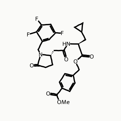 COC(=O)c1ccc(COC(=O)[C@H](CC2CC2)NC(=O)C[C@@H]2CCC(=O)N2Cc2cc(F)cc(F)c2F)cc1